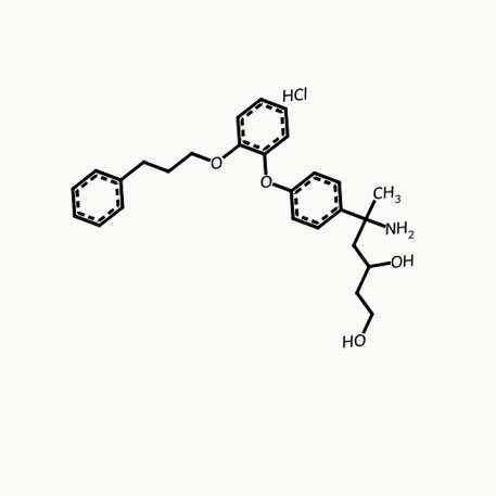 CC(N)(CC(O)CCO)c1ccc(Oc2ccccc2OCCCc2ccccc2)cc1.Cl